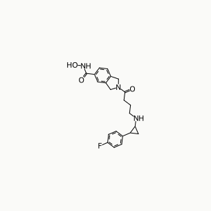 O=C(NO)c1ccc2c(c1)CN(C(=O)CCCNC1CC1c1ccc(F)cc1)C2